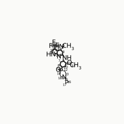 CNc1cc(Nc2ccc(P3(=O)CCN(C4CC4)CC3)cc2OC)nc2[nH]cc(C(F)(F)F)c12